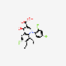 CCc1c(F)cc2c(=O)c(C(=O)O)cn(-c3ccc(F)cc3F)c2c1CC